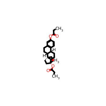 CCC(=O)Oc1ccc2c(c1)CC[C@@H]1[C@@H]2CC[C@]2(C)[C@]3(OC(=O)CC)CC[C@@]12CC3